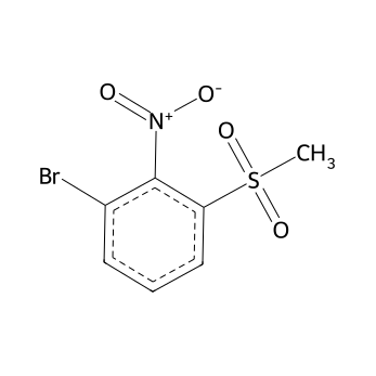 CS(=O)(=O)c1cccc(Br)c1[N+](=O)[O-]